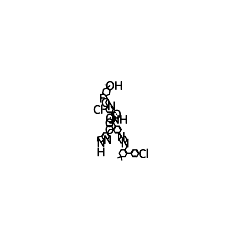 CC1(C)CCC(CN2CCN(c3ccc(C(=O)NS(=O)(=O)c4cnc(OC[C@]5(F)CC[C@](C)(O)CC5)c(Cl)c4)c(Oc4cnc5[nH]ccc5c4)c3)CC2)=C(c2ccc(Cl)cc2)C1